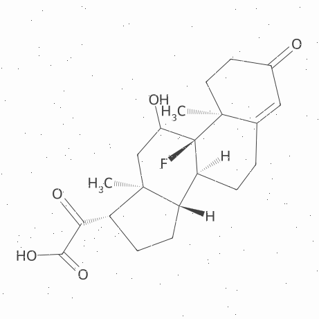 C[C@]12CC(O)[C@@]3(F)[C@@H](CCC4=CC(=O)CC[C@@]43C)[C@@H]1CC[C@@H]2C(=O)C(=O)O